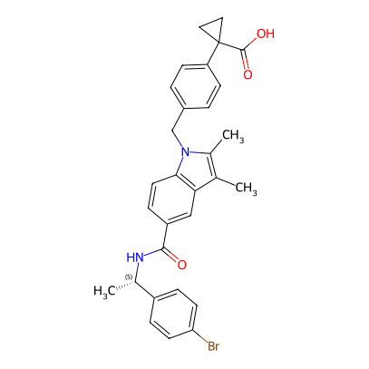 Cc1c(C)n(Cc2ccc(C3(C(=O)O)CC3)cc2)c2ccc(C(=O)N[C@@H](C)c3ccc(Br)cc3)cc12